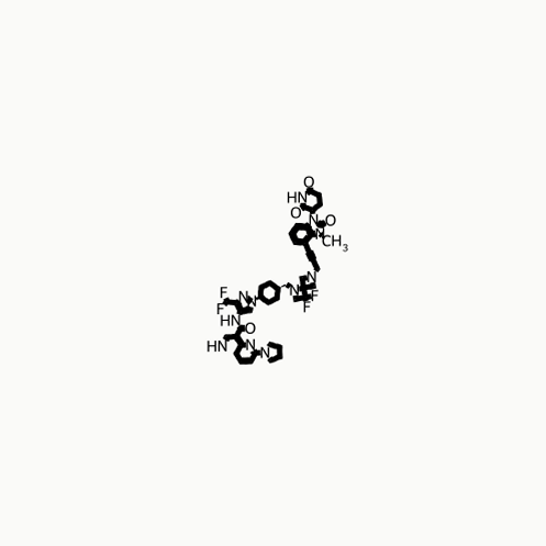 Cn1c(=O)n(C2CCC(=O)NC2=O)c2cccc(C#CCN3CC4(C3)N(C[C@H]3CC[C@H](n5cc(NC(=O)/C(C=N)=C6/CC=CC(N7CCCC7)=N6)c(C(F)F)n5)CC3)CC4(F)F)c21